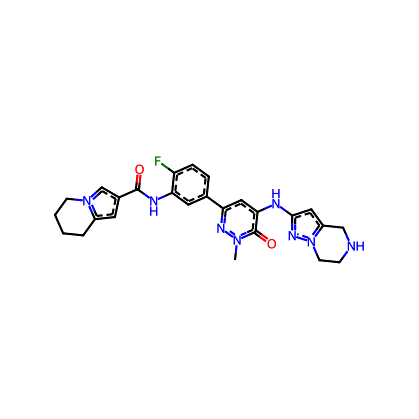 Cn1nc(-c2ccc(F)c(NC(=O)c3cc4n(c3)CCCC4)c2)cc(Nc2cc3n(n2)CCNC3)c1=O